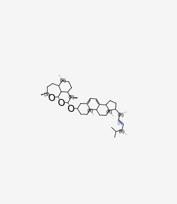 CC(C)[C@@H](C)/C=C/[C@@H](C)C1CCC2C3=CC=C4CC(OC5OC6O[C@@H](C)CCC7C6C(CC[C@H]7C)[C@H]5C)CC[C@]4(C)C3CC[C@@]21C